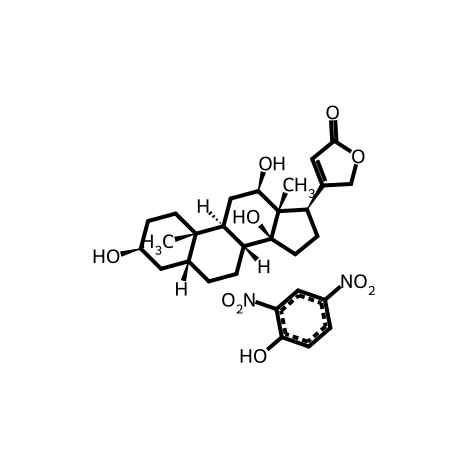 C[C@]12CC[C@H](O)C[C@H]1CC[C@@H]1[C@@H]2C[C@@H](O)[C@]2(C)[C@@H](C3=CC(=O)OC3)CC[C@]12O.O=[N+]([O-])c1ccc(O)c([N+](=O)[O-])c1